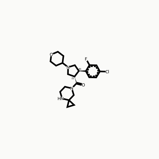 O=C([C@@H]1CN(C2CCOCC2)C[C@H]1c1ccc(Cl)cc1F)N1CCNC2(CC2)C1